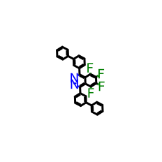 Fc1c(F)c(F)c2c(-c3cccc(-c4ccccc4)c3)nnc(-c3cccc(-c4ccccc4)c3)c2c1F